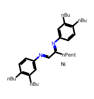 CCCCCC(C=Nc1ccc(CCCC)c(CCCC)c1)=Nc1ccc(CCCC)c(CCCC)c1.[Ni]